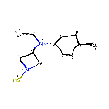 CC[C@H]1CC[C@H](N(CC(F)(F)F)C2CN(S)C2)CC1